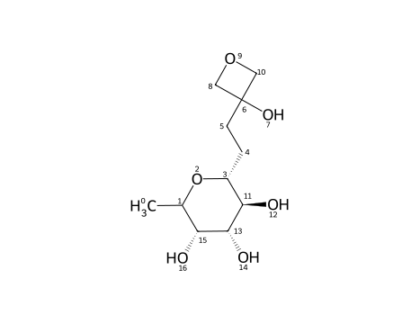 CC1O[C@H](CCC2(O)COC2)[C@@H](O)[C@H](O)[C@@H]1O